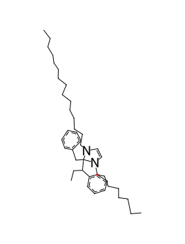 CCCCCCCCCCCCCCCN1C=CN(CCCCCCCC)C1(Cc1ccccc1)C(CC)c1ccccc1